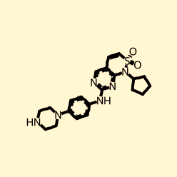 O=S1(=O)C=Cc2cnc(Nc3ccc(N4CCNCC4)cc3)nc2N1C1CCCC1